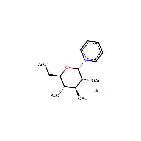 CC(=O)OC[C@H]1O[C@H]([n+]2ccccc2)[C@H](OC(C)=O)[C@@H](OC(C)=O)[C@@H]1OC(C)=O.[Br-]